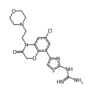 N=C(N)Nc1nc(-c2cc(Cl)cc3c2OCC(=O)N3CCN2CCOCC2)cs1